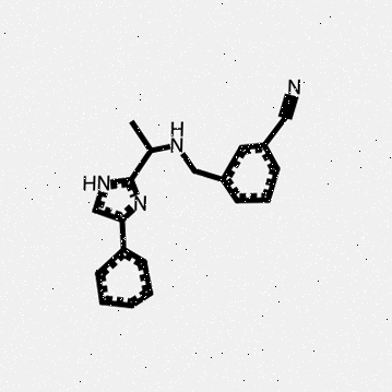 CC(NCc1cccc(C#N)c1)c1nc(-c2ccccc2)c[nH]1